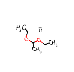 CCOC(C)OCC.[Ti]